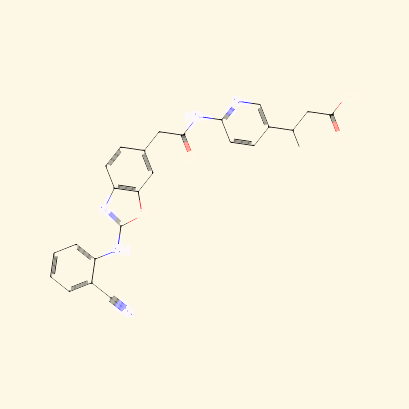 CC(CC(=O)O)c1ccc(NC(=O)Cc2ccc3nc(Nc4ccccc4C#N)oc3c2)nc1